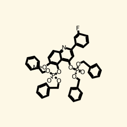 COc1ccc2nc(-c3cccc(F)c3)cc(OP(=O)(OCc3ccccc3)OCc3ccccc3)c2c1OP(=O)(OCc1ccccc1)OCc1ccccc1